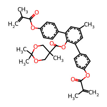 C=C(C)C(=O)Oc1ccc(-c2cc(C)cc(-c3ccc(OC(=O)C(=C)C)cc3)c2OC(=O)C2(C)COC(C)(C)OC2)cc1